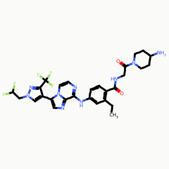 CCc1cc(Nc2nccn3c(-c4cn(CC(F)F)nc4C(F)(F)F)cnc23)ccc1C(=O)NCC(=O)N1CCC(N)CC1